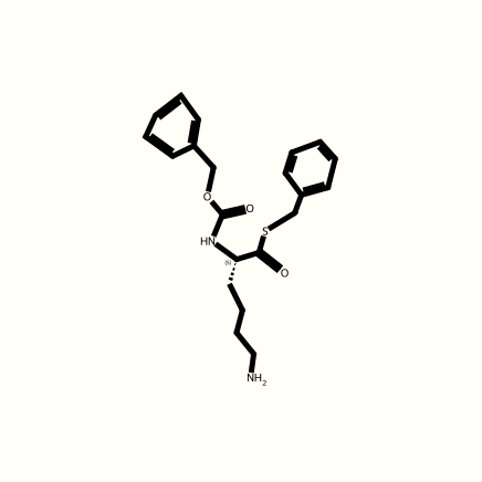 NCCCC[C@H](NC(=O)OCc1ccccc1)C(=O)S[CH]c1ccccc1